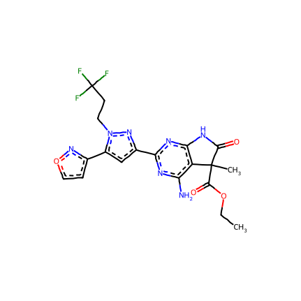 CCOC(=O)C1(C)C(=O)Nc2nc(-c3cc(-c4ccon4)n(CCC(F)(F)F)n3)nc(N)c21